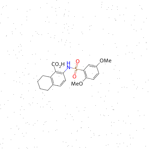 COc1ccc(OC)c(S(=O)(=O)Nc2ccc3c(c2C(=O)O)CCCC3)c1